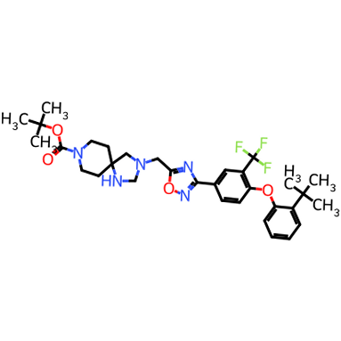 CC(C)(C)OC(=O)N1CCC2(CC1)CN(Cc1nc(-c3ccc(Oc4ccccc4C(C)(C)C)c(C(F)(F)F)c3)no1)CN2